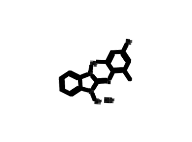 Br.Cc1cc(Br)cc(C)c1N=c1n(C(C)C)c2ccccc2n1C(C)C